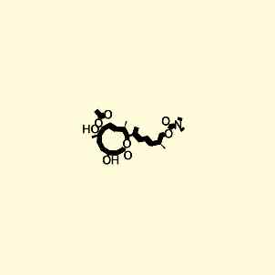 CC(=O)O[C@@H]1/C=C/[C@H](C)[C@@H](/C(C)=C/C=C/[C@@H](C)COC(=O)N(C)C)OC(=O)C[C@@H](O)CC[C@]1(C)O